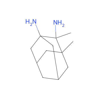 CC12CC3CC(C1)CC(N)(C3)C2(C)N